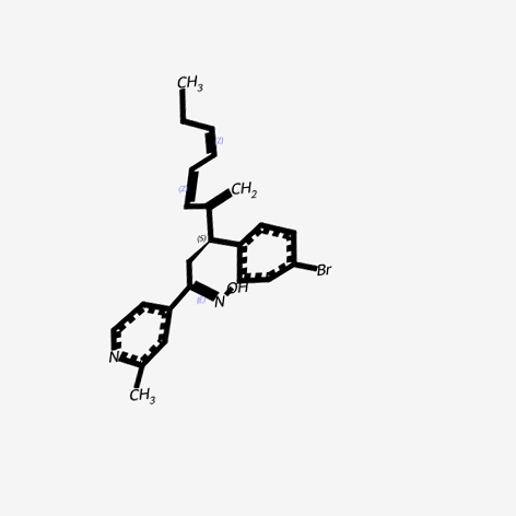 C=C(/C=C\C=C/CC)[C@H](C/C(=N\O)c1ccnc(C)c1)c1ccc(Br)cc1